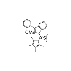 COc1ccccc1C1=C[CH]([Zr]([CH]2C(C)=C(C)C(C)=C2C)=[Si](C)C)c2ccccc21